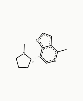 Cc1ncc([C@@H]2CCCN2C)c2occc12